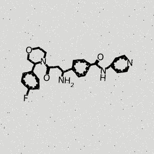 NC(CC(=O)N1CCOCC1c1ccc(F)cc1)c1ccc(C(=O)Nc2ccncc2)cc1